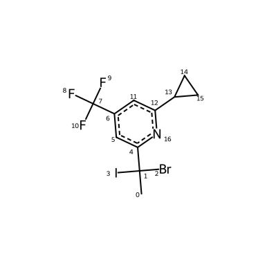 CC(Br)(I)c1cc(C(F)(F)F)cc(C2CC2)n1